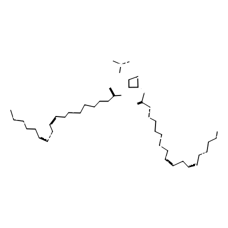 CCCCC/C=C\C/C=C\CCCCCCCC(=O)O[C@@H]1[C@H](CN(C)C)C[C@@H]1OC(=O)CCCCCCC/C=C\C/C=C\CCCCC